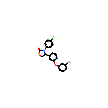 N#Cc1cccc(Oc2cccc(C3COC(=O)N3c3ccc(Cl)cc3)c2)c1